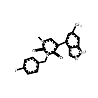 Cn1cc(-c2cc(C(F)(F)F)cc3[nH]ncc23)c(=O)n(Cc2ccc(F)cc2)c1=O